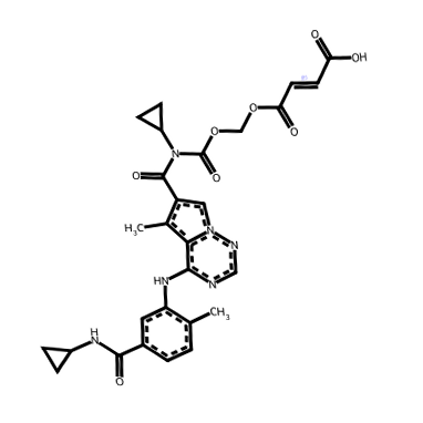 Cc1ccc(C(=O)NC2CC2)cc1Nc1ncnn2cc(C(=O)N(C(=O)OCOC(=O)/C=C/C(=O)O)C3CC3)c(C)c12